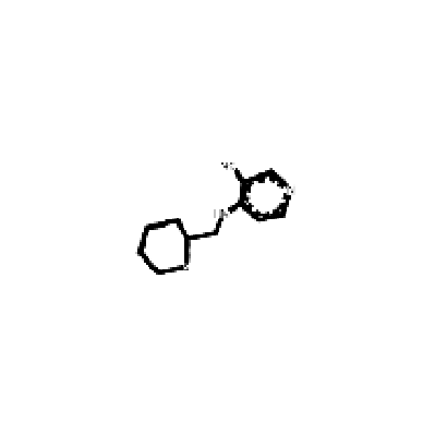 N#Cc1cnccc1NCC1CCCCS1